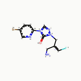 NC/C(=C/F)Cn1ncn(-c2ccc(Br)cn2)c1=O